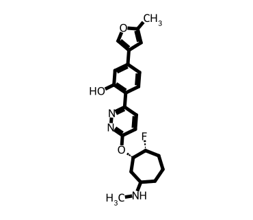 CNC1CCC[C@@H](F)[C@@H](Oc2ccc(-c3ccc(-c4coc(C)c4)cc3O)nn2)C1